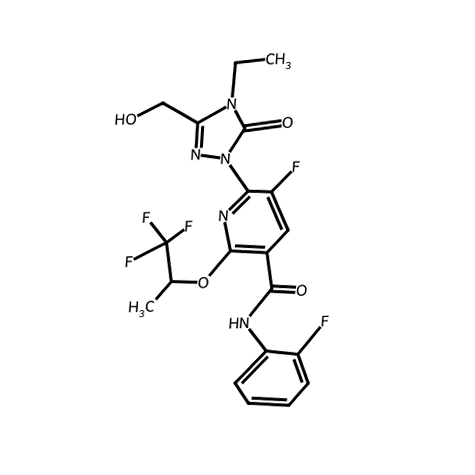 CCn1c(CO)nn(-c2nc(OC(C)C(F)(F)F)c(C(=O)Nc3ccccc3F)cc2F)c1=O